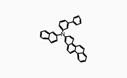 c1ccc(-c2cccc(N(c3ccc4ccccc4c3)c3ccc4c(ccc5c6ccccc6ccc45)c3)c2)cc1